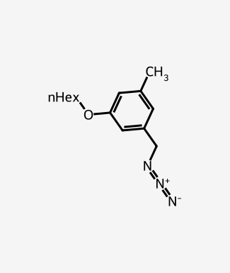 CCCCCCOc1cc(C)cc(CN=[N+]=[N-])c1